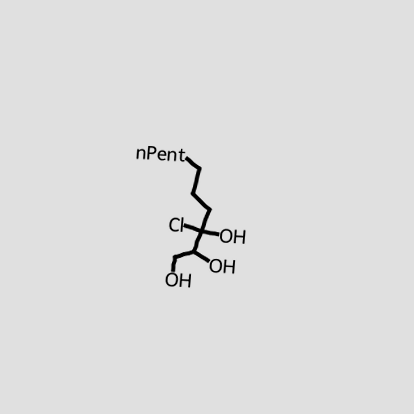 CCCCCCCCC(O)(Cl)C(O)CO